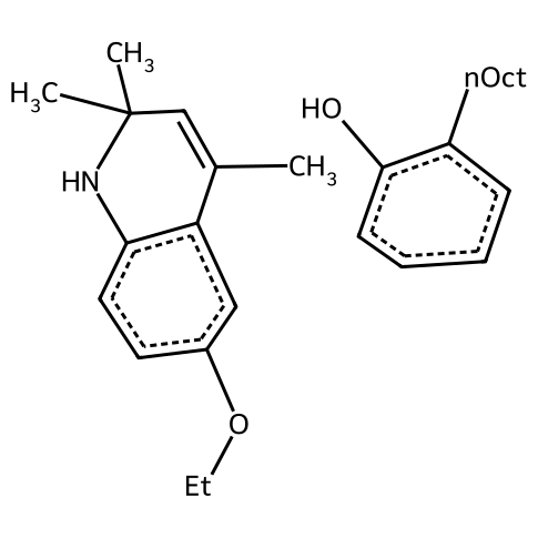 CCCCCCCCc1ccccc1O.CCOc1ccc2c(c1)C(C)=CC(C)(C)N2